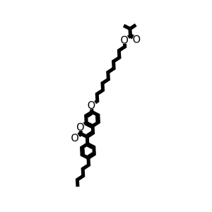 CCCCCc1ccc(-c2cc3ccc(OCCCCCCCCCCCOC(=O)C(C)C)cc3oc2=O)cc1